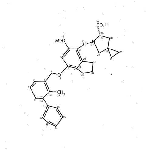 COc1cc(OCc2cccc(-c3ccccc3)c2C)c2c(c1CN1CC3(CC3)C[C@H]1C(=O)O)CCC2